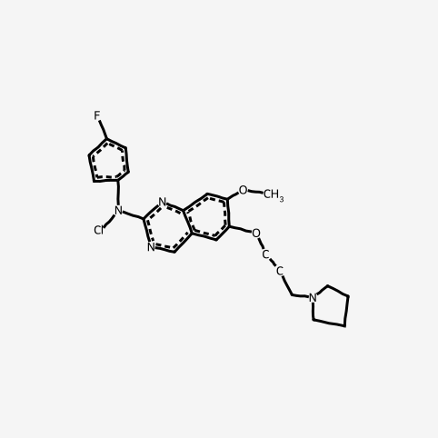 COc1cc2nc(N(Cl)c3ccc(F)cc3)ncc2cc1OCCCN1CCCC1